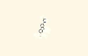 CC1(C)c2cc(-c3cncc(Cl)c3)ccc2-c2ccc(P(C)(C)=O)cc21